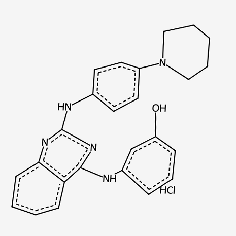 Cl.Oc1cccc(Nc2nc(Nc3ccc(N4CCCCC4)cc3)nc3ccccc23)c1